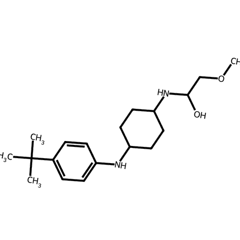 COCC(O)NC1CCC(Nc2ccc(C(C)(C)C)cc2)CC1